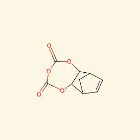 O=C1OC(=O)OC2C3C=CC(C3)C2O1